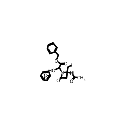 CC(=O)NC1(CI)CC(=O)N1C(O)C(=O)OCc1ccccc1.c1cc2cc(c1)O2